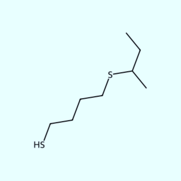 CCC(C)SCCCCS